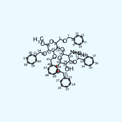 CO[C@H]1OC(COCc2ccccc2)[C@@H](OC2OC(COCc3ccccc3)[C@@H](O)C(OCc3ccccc3)C2N=[N+]=[N-])C(OCc2ccccc2)C1OCc1ccccc1